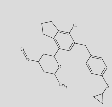 CC1CC(N=O)CC(c2cc(Cc3ccc(SC4CC4)cc3)c(Cl)c3c2CCC3)O1